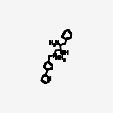 NC(Cc1ccccc1)[C@@H](O)CN(N)Cc1ccc(-c2ccccn2)cc1